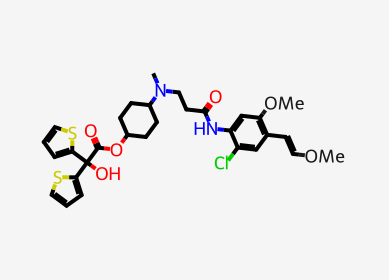 CO/C=C/c1cc(Cl)c(NC(=O)CCN(C)C2CCC(OC(=O)C(O)(c3cccs3)c3cccs3)CC2)cc1OC